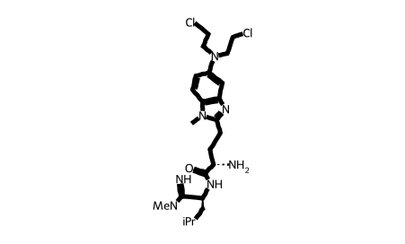 CNC(=N)[C@H](CC(C)C)NC(=O)[C@@H](N)CCc1nc2cc(N(CCCl)CCCl)ccc2n1C